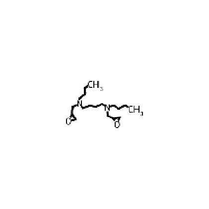 CCCCN(CCCCN(CCCC)CC1CO1)CC1CO1